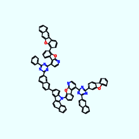 c1ccc(-c2nc(-c3ccc4ccc(-c5ccc6c(c5)c5ccc7ccccc7c5n6-c5cccc6c5oc5nccc(-c7nc(-c8ccc9ccccc9c8)nc(-c8ccc9c(c8)oc8ccccc89)n7)c56)cc4c3)nc(-c3ccnc4oc5c(-c6cccc7c6oc6cc8ccccc8cc67)cccc5c34)n2)cc1